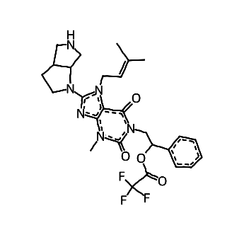 CC(C)=CCn1c(N2CCC3CNCC32)nc2c1c(=O)n(CC(OC(=O)C(F)(F)F)c1ccccc1)c(=O)n2C